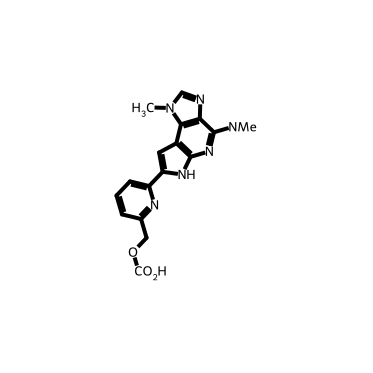 CNc1nc2[nH]c(-c3cccc(COC(=O)O)n3)cc2c2c1ncn2C